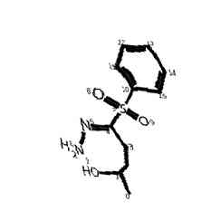 CC(O)CC(=NN)S(=O)(=O)c1ccccc1